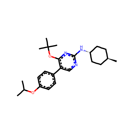 CC(C)Oc1ccc(-c2cnc(N[C@H]3CC[C@H](C)CC3)nc2OC(C)(C)C)cc1